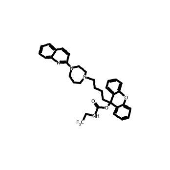 O=C(NCC(F)(F)F)OC1(CCCCN2CCCN(c3ccc4ccccc4n3)CC2)c2ccccc2Oc2ccccc21